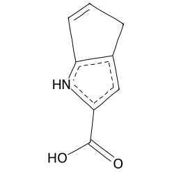 O=C(O)c1cc2c([nH]1)C=CC2